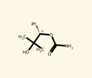 CC(C)[C@H](OC(N)=O)C(C)(C)O